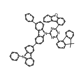 CC1(C)c2ccccc2-c2c(-c3nc(-c4cccc5oc6ccccc6c45)nc(-n4c5ccc(-c6ccccc6)cc5c5cc(-c6ccc7c(c6)c6ccccc6n7-c6ccccc6)ccc54)n3)cccc21